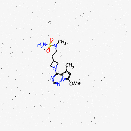 COc1cc(C)c2c(N3CC(CCN(C)S(N)(=O)=O)C3)ncnn12